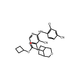 N#Cc1ccc(Nc2ncnc(OC3C4COCC3CN(C(=O)OC3CCC3)C4)c2C#N)c(Cl)c1